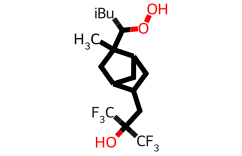 CCC(C)C(OO)C1(C)CC2CC1CC2CC(O)(C(F)(F)F)C(F)(F)F